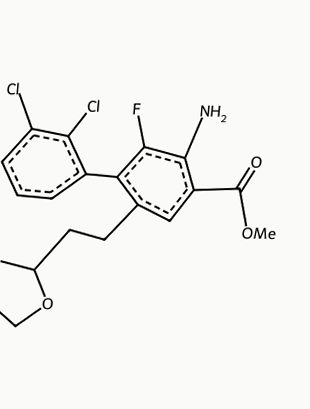 COC(=O)c1cc(CCC2OCCO2)c(-c2cccc(Cl)c2Cl)c(F)c1N